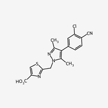 Cc1nn(Cc2nc(C(=O)O)cs2)c(C)c1-c1ccc(C#N)c(Cl)c1